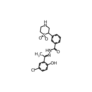 C/C(=N\NC(=O)c1cccc(C2CNCCS2(=O)=O)c1)c1cc(Cl)ccc1O